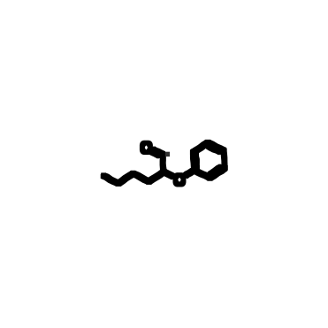 CCCCC([C]=O)Oc1ccccc1